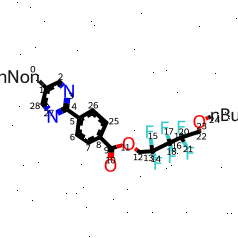 CCCCCCCCCc1cnc(-c2ccc(C(=O)OCC(F)(F)C(F)(F)C(F)(F)COCCCC)cc2)nc1